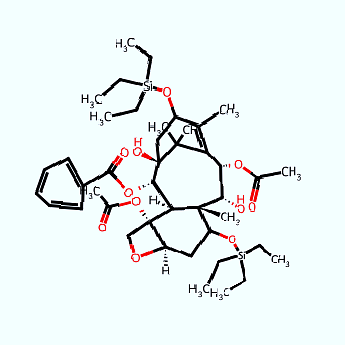 CC[Si](CC)(CC)OC1C[C@@]2(O)[C@@H](OC(=O)c3ccccc3)[C@@H]3[C@]4(OC(C)=O)CO[C@@H]4CC(O[Si](CC)(CC)CC)[C@@]3(C)[C@@H](O)[C@@H](OC(C)=O)C(=C1C)C2(C)C